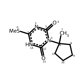 CSc1nc(=O)n(C2(C)CCCC2)c(=O)[nH]1